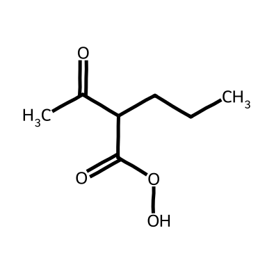 CCCC(C(C)=O)C(=O)OO